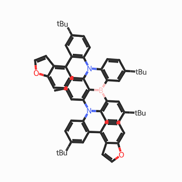 Cc1cc2c3c(c1)N(c1ccc(C(C)(C)C)cc1-c1cccc4occc14)c1ccc(C(C)(C)C)cc1B3c1cc(C(C)(C)C)ccc1N2c1ccc(C(C)(C)C)cc1-c1cccc2occc12